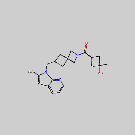 CC1(O)CC(C(=O)N2CC3(CC(Cn4c(C(F)(F)F)cc5cccnc54)C3)C2)C1